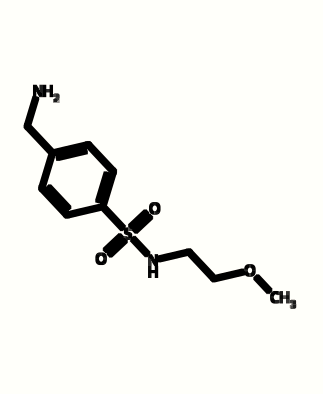 COCCNS(=O)(=O)c1ccc(CN)cc1